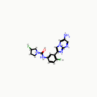 Nc1cnc2nc(-c3cc(NC(=O)N4CCC(F)C4)ccc3F)cn2c1